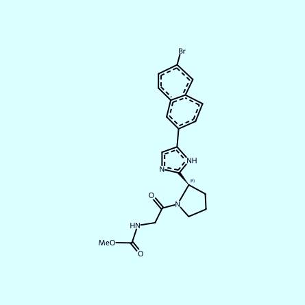 COC(=O)NCC(=O)N1CCC[C@@H]1c1ncc(-c2ccc3cc(Br)ccc3c2)[nH]1